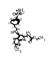 CCOC(=O)Nc1cc(NCCc2ccc(S(N)(=O)=O)cc2)c2ncc(C)nc2n1